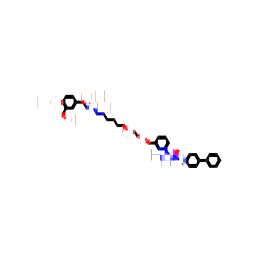 O=C(Nc1ccc(-c2ccccc2)cc1)Nc1cccc(COCCOCCCCCCNC[C@H](O)c2ccc(O)c(CO)c2)c1